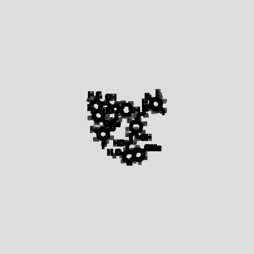 COc1ccc2ncc(C)c([C@H](O)CCC3(CO)CCN(CCNc4cc(F)cc(F)c4F)CC3)c2c1.COc1ccc2ncc(C)c([C@H](O)CCC3([C@@H](O)CCOc4cc(F)cc(F)c4)CCNCC3)c2c1